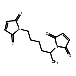 CC(CCCCN1C(=O)C=CC1=O)N1C(=O)C=CC1=O